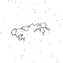 COc1ccccc1N1CCN(CCCC2[N+](=O)C3=CC4(CS3)C(=O)CCC[N+]24[O-])CC1